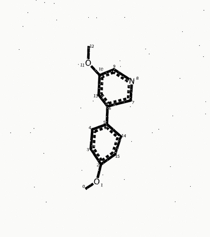 COc1ccc(-c2cncc(OC)c2)cc1